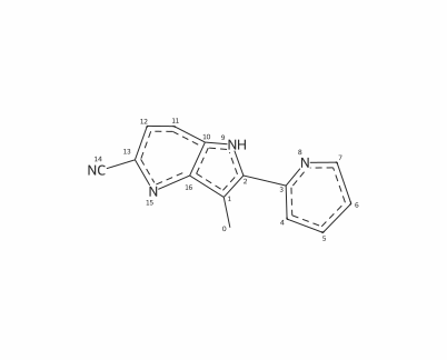 Cc1c(-c2ccccn2)[nH]c2ccc(C#N)nc12